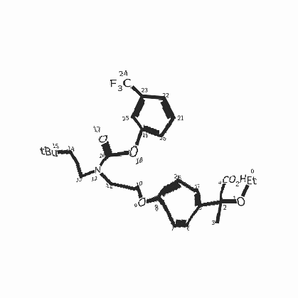 CCOC(C)(C(=O)O)c1ccc(OCCN(CCC(C)(C)C)C(=O)Oc2cccc(C(F)(F)F)c2)cc1